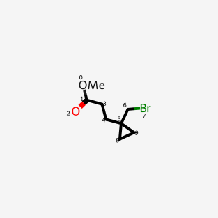 COC(=O)CCC1(CBr)CC1